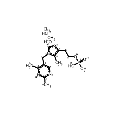 Cc1ncc(C[n+]2csc(CCOP(=O)(O)O)c2C)c(N)n1.Cl.O.O.[Cl-]